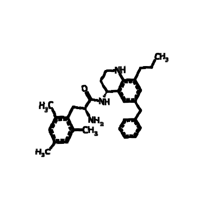 CCCc1cc(Cc2ccccc2)cc2c1NCC[C@H]2NC(=O)[C@@H](N)Cc1c(C)cc(C)cc1C